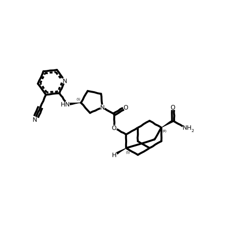 N#Cc1cccnc1N[C@H]1CCN(C(=O)OC2C3CC4C[C@H]2C[C@@](C(N)=O)(C4)C3)C1